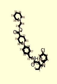 CCc1nc2ccc(Cl)cn2c1C(=O)NCc1ccc(N2CCC(C(=O)OCCN3CCCCC3)CC2)cc1